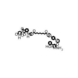 Nc1nnc(-c2ccccc2O)cc1OC1CCCN(c2ccc(N3CCN(C(=O)CCCCCCCC(=O)N4CC[C@H](Nc5cccc6c5C(=O)N(C5CCC(=O)NC5=O)C6=O)C4)CC3)cc2)C1